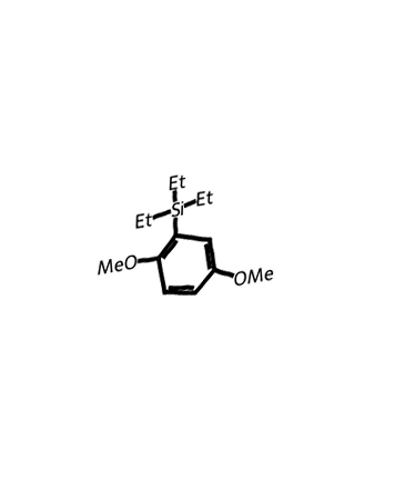 CC[Si](CC)(CC)c1cc(OC)ccc1OC